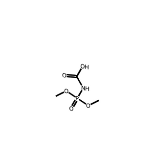 COP(=O)(NC(=O)O)OC